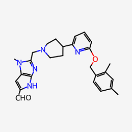 Cc1ccc(COc2cccc(C3CCN(Cc4nc5[nH]c(C=O)cc5n4C)CC3)n2)c(C)c1